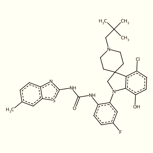 Cc1ccc2nc(NC(=O)Nc3ccc(F)cc3N3CC4(CCN(CC(C)(C)C)CC4)c4c(Cl)ccc(O)c43)sc2c1